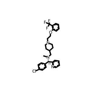 CN(CC1CCN(CCOc2ccccc2C(F)(F)F)CC1)[C@@H](c1ccc(Cl)cc1)c1ccccn1